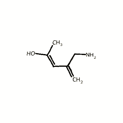 C=C(/C=C(\C)O)CN